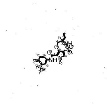 C=C[C@@]1(C)COc2c(cn(C)c2C(=O)Nc2ccc(F)c(C(F)(F)F)c2)S(=O)(=O)N1